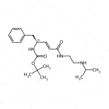 CC(C)NCCNC(=O)C=C[C@H](Cc1ccccc1)NC(=O)OC(C)(C)C